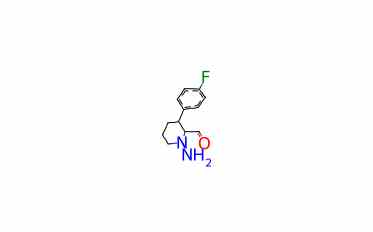 NN1CCCC(c2ccc(F)cc2)C1C=O